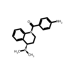 CN(C)[C@@H]1CCN(C(=O)c2ccc(N)cc2)c2ccccc21